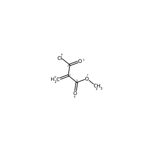 C=C(C(=O)Cl)C(=O)OC